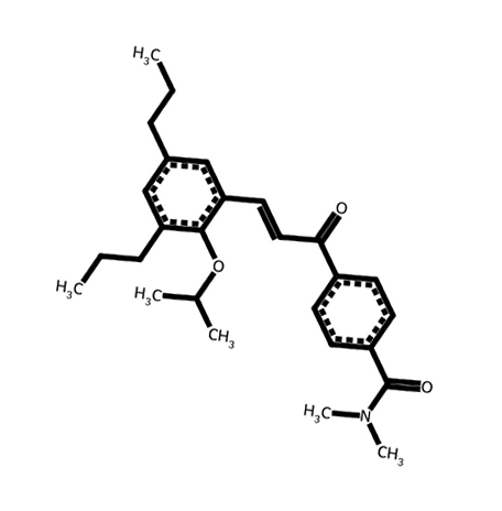 CCCc1cc(C=CC(=O)c2ccc(C(=O)N(C)C)cc2)c(OC(C)C)c(CCC)c1